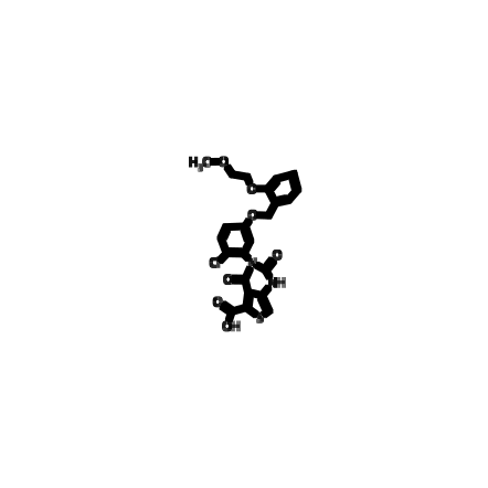 COCCOc1ccccc1COc1ccc(Cl)c(-n2c(=O)[nH]c3csc(C(=O)O)c3c2=O)c1